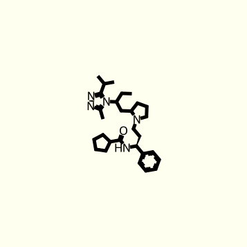 CCC(CC1CCCN1CC[C@H](NC(=O)C1CCCC1)c1ccccc1)n1c(C)nnc1C(C)C